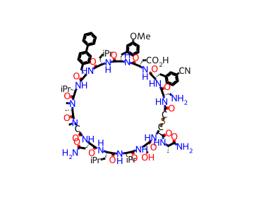 COc1cccc(C[C@@H]2NC(=O)[C@H](CC(=O)O)NC(=O)[C@H](Cc3cccc(C#N)c3)NC(=O)[C@H](CN)NC(=O)CSC[C@@H](C(=O)N[C@@H](C)C(N)=O)NC(=O)[C@H](CO)NC(=O)[C@H](C(C)C)NC(=O)[C@H](CC(C)C)NC(=O)[C@H](CC(N)=O)NC(=O)CN(C)C(=O)[C@H](C)N(C)C(=O)[C@H](C(C)C)NC(=O)[C@H](Cc3ccc(-c4ccccc4)cc3)NC(=O)[C@H](CC(C)C)NC2=O)c1